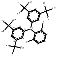 Fc1cccc(F)c1B(c1cc(C(F)(F)F)cc(C(F)(F)F)c1)c1cc(C(F)(F)F)cc(C(F)(F)F)c1